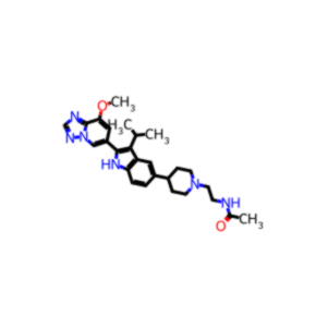 COc1cc(-c2[nH]c3ccc(C4CCN(CCNC(C)=O)CC4)cc3c2C(C)C)cn2ncnc12